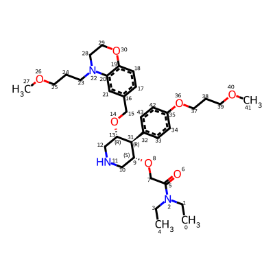 CCN(CC)C(=O)CO[C@@H]1CNC[C@H](OCc2ccc3c(c2)N(CCCOC)CCO3)[C@H]1c1ccc(OCCCOC)cc1